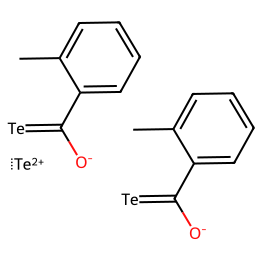 Cc1ccccc1C([O-])=[Te].Cc1ccccc1C([O-])=[Te].[Te+2]